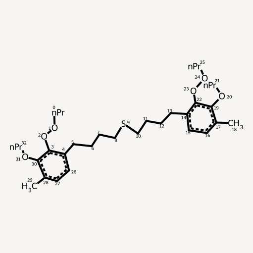 CCCOOc1c(CCCCSCCCCc2ccc(C)c(OCCC)c2OOCCC)ccc(C)c1OCCC